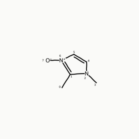 Cc1n(C)cc[n+]1[O-]